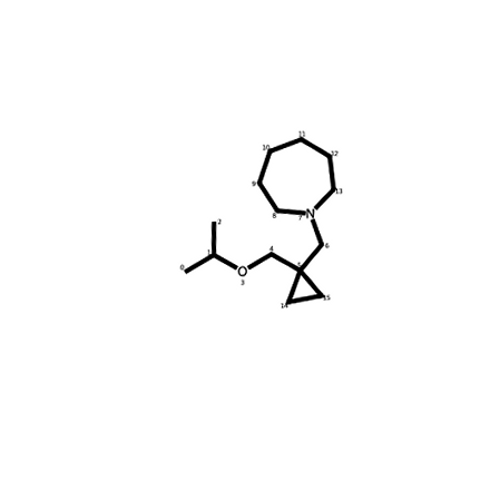 CC(C)OCC1(CN2CCCCCC2)CC1